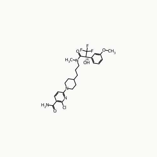 COc1cccc([C@@](O)(C(=O)N(C)CCCC2CCN(c3ccc(C(N)=O)c(Cl)n3)CC2)C(F)(F)F)c1